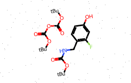 CC(C)(C)OC(=O)NCc1ccc(O)cc1F.CC(C)(C)OC(=O)OC(=O)OC(C)(C)C